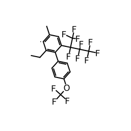 CCc1[c]c(C)cc(C(F)(C(F)(F)F)C(F)(F)C(F)(F)F)c1-c1ccc(OC(F)(F)F)cc1